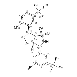 O=S1(=O)N[C@H](c2cc(F)cc(C(F)(F)F)c2)[C@@H]2CC[C@@H](c3cc(C(F)(F)F)ccc3Cl)N21